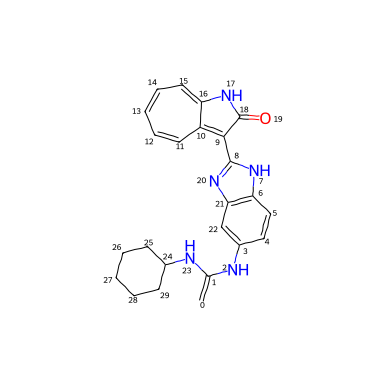 C=C(Nc1ccc2[nH]c(-c3c4cccccc-4[nH]c3=O)nc2c1)NC1CCCCC1